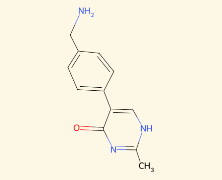 Cc1nc(=O)c(-c2ccc(CN)cc2)c[nH]1